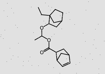 CCC12CCC(CC1OC(C)OC(=O)C1CC3C=CC1C3)C2